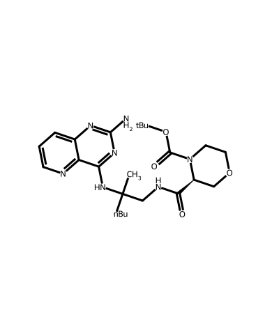 CCCCC(C)(CNC(=O)[C@@H]1COCCN1C(=O)OC(C)(C)C)Nc1nc(N)nc2cccnc12